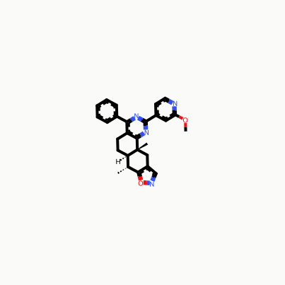 COc1cc(-c2nc(-c3ccccc3)c3c(n2)[C@]2(C)Cc4cnoc4[C@H](C)[C@H]2CC3)ccn1